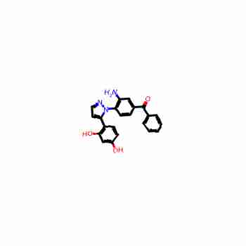 Nc1cc(C(=O)c2ccccc2)ccc1-n1nccc1-c1ccc(O)cc1O